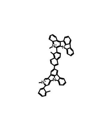 Cc1ccccc1-c1cc2c(c[n+]1C)c1cc(-c3ccc4c(C)c(-c5c6c(c7cccc8c9ccccc9n6c87)c6ccccc6[n+]5C)ccc4c3)cc3c4ccccc4n2c31